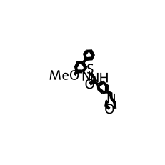 COc1ccc(-c2ccccc2)c2sc(NC(=O)c3ccc(CN4CCOCC4)cc3)nc12